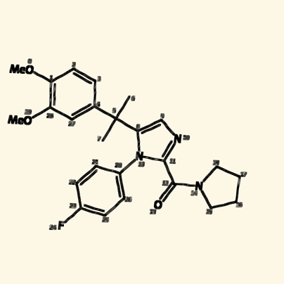 COc1ccc(C(C)(C)c2cnc(C(=O)N3CCCC3)n2-c2ccc(F)cc2)cc1OC